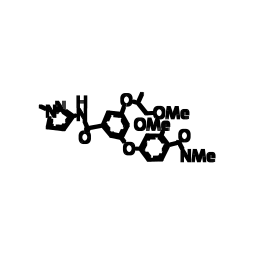 CNC(=O)c1ccc(Oc2cc(OC(C)COC)cc(C(=O)Nc3ccn(C)n3)c2)cc1OC